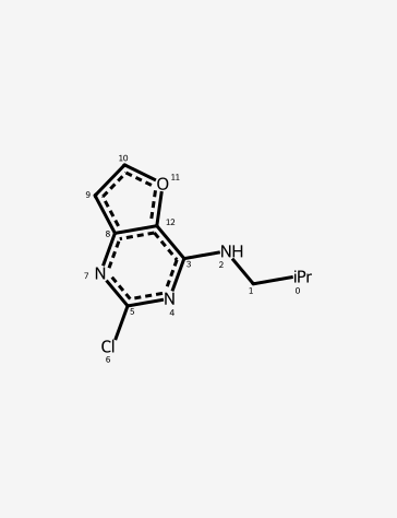 CC(C)CNc1nc(Cl)nc2ccoc12